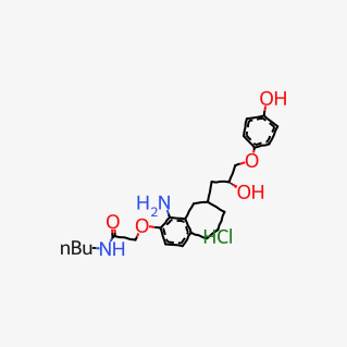 CCCCNC(=O)COc1ccc2c(c1N)CC(C[C@H](O)COc1ccc(O)cc1)CCC2.Cl